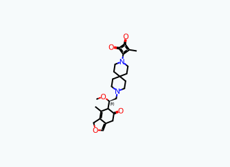 CO[C@@H](CN1CCC2(CC1)CCN(c1c(C)c(=O)c1=O)CC2)C1C(=O)CC2=COCC2=C1C